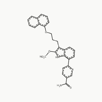 NC(=O)c1ccc(-c2cccc3c(CCCOc4cccc5ccccc45)c(OC(=O)O)[nH]c23)nc1